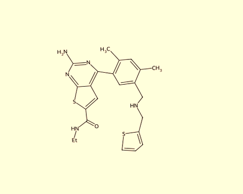 CCNC(=O)c1cc2c(-c3cc(CNCc4cccs4)c(C)cc3C)nc(N)nc2s1